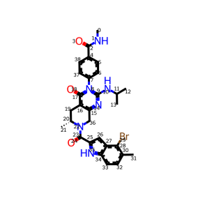 CNC(=O)c1ccc(-n2c(NC(C)C)nc3c(c2=O)C[C@@H](C)N(C(=O)c2cc4c(Br)c(C)ccc4[nH]2)C3)cc1